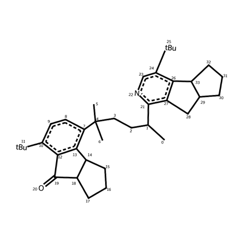 CC(CCC(C)(C)c1ccc(C(C)(C)C)c2c1C1CCCC1C2=O)c1ncc(C(C)(C)C)c2c1CC1CCCC21